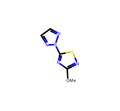 COc1nsc(-n2nccn2)n1